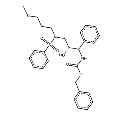 CSCCCN(C[C@@H](O)C(NC(=O)OCc1ccccc1)c1ccccc1)S(=O)(=O)c1ccccc1